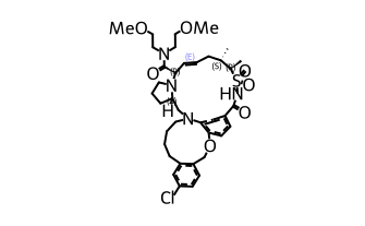 COCCN(CCOC)C(=O)[C@H]1/C=C/C[C@H](C)[C@@H](C)S(=O)(=O)NC(=O)c2ccc3c(c2)N(CCCCc2cc(Cl)ccc2CO3)C[C@@H]2CCCN21